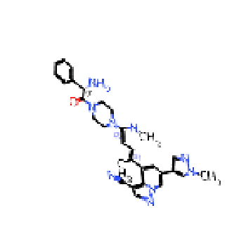 C=N/C(=C\C=C(/C)c1cc(-c2cnn(C)c2)cn2ncc(C#N)c12)N1CCN(C(=O)[C@@H](N)c2ccccc2)CC1